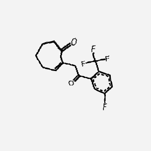 O=C1CCCCC=C1CC(=O)c1cc(F)ccc1C(F)(F)F